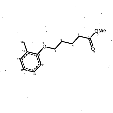 COC(=O)CCCCOc1ccccc1C